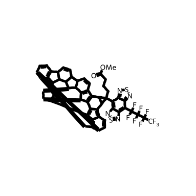 COC(=O)CCCC1(c2c3c(c(C(F)(F)C(F)(F)C(F)(F)C(F)(F)F)c4nsnc24)N=S=N3)C2c3c4c5c6c3c3c(c7ccc8c9ccc%10c%11c%12c%13c(c6c6c%13c(c%119)c8c7c36)=C3C5C(C=C4)C4C=CC%10C%12C34)C21